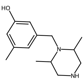 Cc1cc(O)cc(CN2C(C)CNCC2C)c1